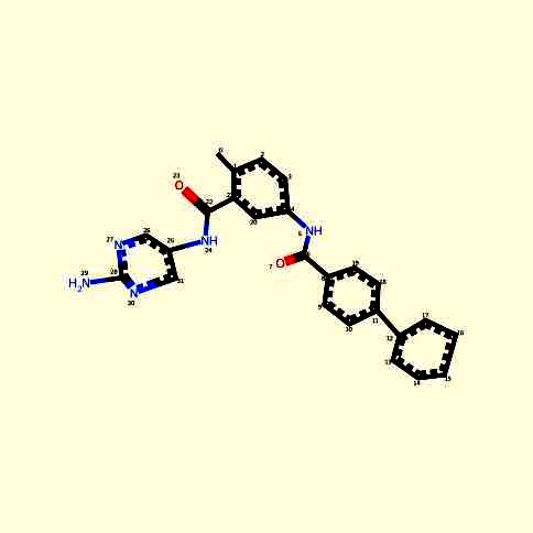 Cc1ccc(NC(=O)c2ccc(-c3ccccc3)cc2)cc1C(=O)Nc1cnc(N)nc1